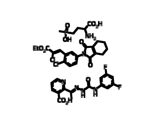 C/C(=N\NC(=O)Nc1cc(F)cc(F)c1)c1ncccc1C(=O)O.CCOC(=O)/C(Cl)=C/c1cc(N2C(=O)C3=C(CCCC3)C2=O)ccc1Cl.CP(=O)(O)CCC(N)C(=O)O